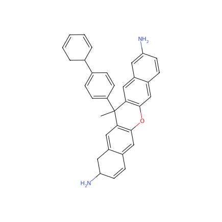 CC1(c2ccc(C3C=CC=CC3)cc2)c2cc3c(cc2Oc2cc4ccc(N)cc4cc21)C=CC(N)C3